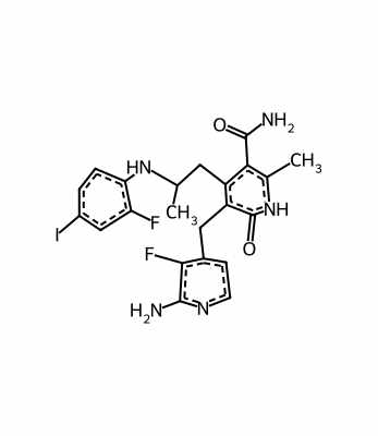 Cc1[nH]c(=O)c(Cc2ccnc(N)c2F)c(CC(C)Nc2ccc(I)cc2F)c1C(N)=O